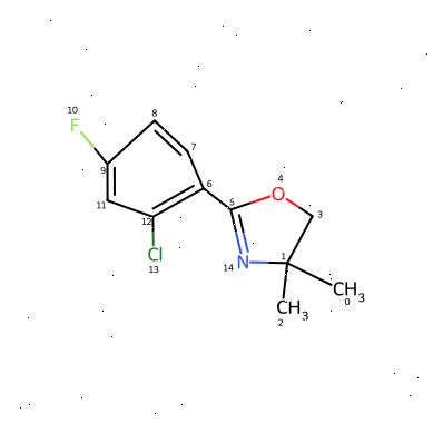 CC1(C)COC(c2ccc(F)cc2Cl)=N1